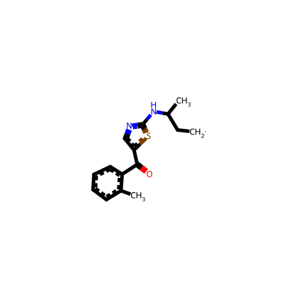 [CH2]CC(C)Nc1ncc(C(=O)c2ccccc2C)s1